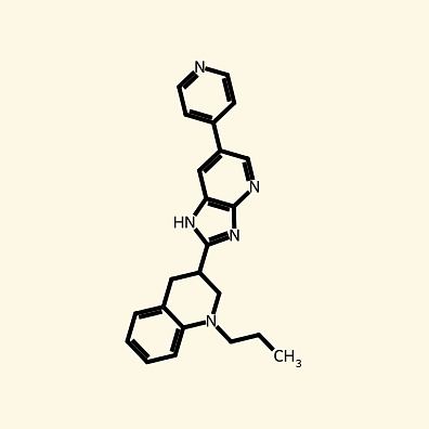 CCCN1CC(c2nc3ncc(-c4ccncc4)cc3[nH]2)Cc2ccccc21